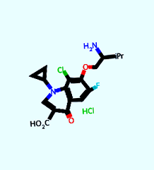 CC(C)C(N)COc1c(F)cc2c(=O)c(C(=O)O)cn(C3CC3)c2c1Cl.Cl